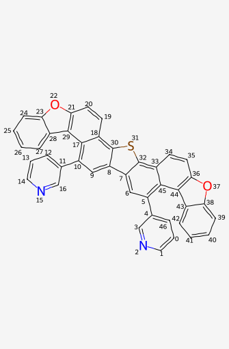 c1cncc(-c2cc3c4cc(-c5cccnc5)c5c(ccc6oc7ccccc7c65)c4sc3c3ccc4oc5ccccc5c4c23)c1